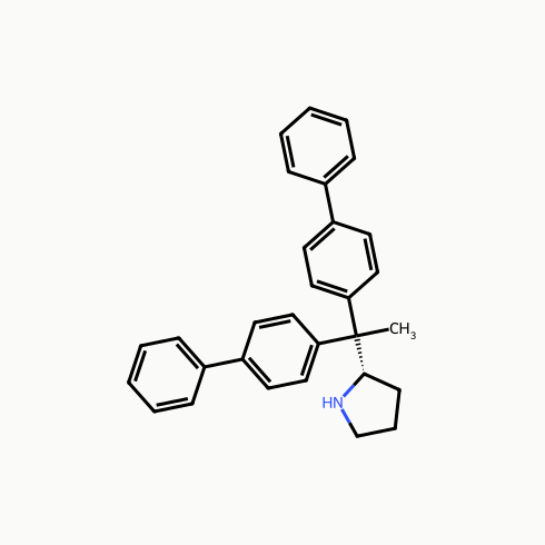 CC(c1ccc(-c2ccccc2)cc1)(c1ccc(-c2ccccc2)cc1)[C@@H]1CCCN1